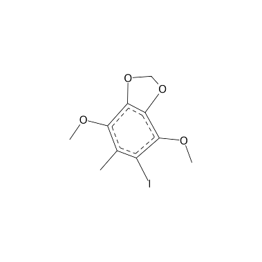 COc1c(C)c(I)c(OC)c2c1OCO2